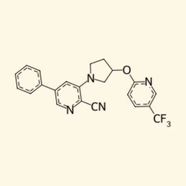 N#Cc1ncc(-c2ccccc2)cc1N1CCC(Oc2ccc(C(F)(F)F)cn2)C1